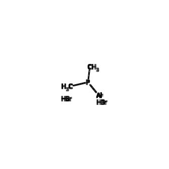 Br.Br.C[P](C)[Al]